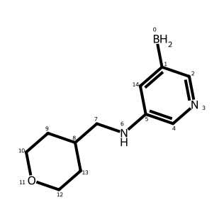 Bc1cncc(NCC2CCOCC2)c1